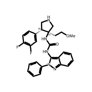 COCC[C@@]1(NC(=O)Nc2c3ccccc3nn2-c2ccccc2)CNC[C@H]1c1ccc(F)c(F)c1